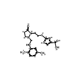 Cc1ccc(C)c(NC[C@H]2CCC(=O)N2CCSc2nc(C(=O)O)cs2)c1